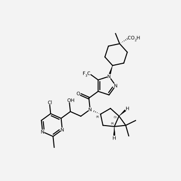 Cc1ncc(Cl)c(C(O)CN(C(=O)c2cnn([C@H]3CC[C@](C)(C(=O)O)CC3)c2C(F)(F)F)[C@H]2C[C@@H]3[C@H](C2)C3(C)C)n1